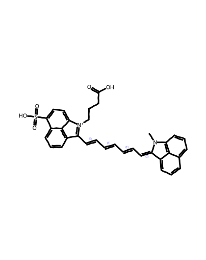 Cn1\c(=C/C=C/C=C/C=C/C2=[N+](CCCC(=O)O)c3ccc(S(=O)(=O)O)c4cccc2c34)c2cccc3cccc1c32